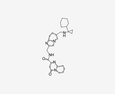 O=C(NCc1cn2cc(CNC3(C4CCCCC4)CC3)ccc2n1)c1cc(=O)n2ccccc2n1